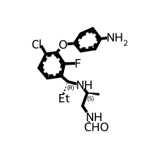 CC[C@@H](N[C@@H](C)CNC=O)c1ccc(Cl)c(Oc2ccc(N)cc2)c1F